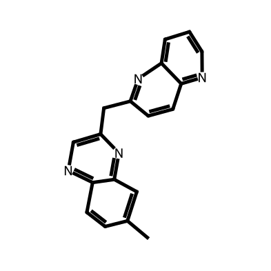 Cc1ccc2ncc(Cc3ccc4ncccc4n3)nc2c1